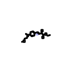 CCOC(=O)C(=O)/C=C/c1ccc(N(C)CCOC)cc1